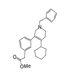 COC(=O)Cc1cccc(C2=C(C3CCCCC3)CCN(Cc3ccccc3)C2)c1